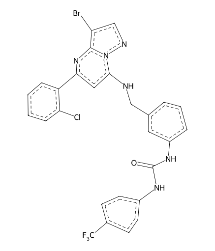 O=C(Nc1ccc(C(F)(F)F)cc1)Nc1cccc(CNc2cc(-c3ccccc3Cl)nc3c(Br)cnn23)c1